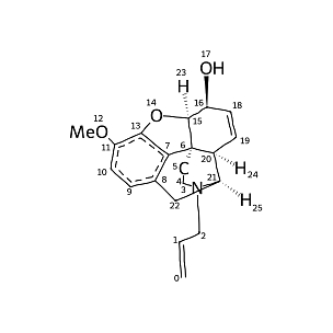 C=CCN1CC[C@]23c4c5ccc(OC)c4O[C@H]2[C@@H](O)C=C[C@H]3[C@H]1C5